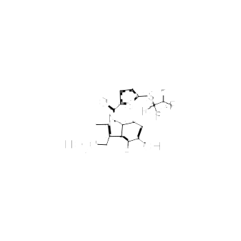 CC1=C(CC(=O)O)C2=C(F)C(O)=CCC2N1C(=O)c1ccc(SC(F)(F)C(F)F)s1